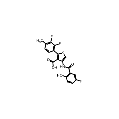 Cc1ccc(-c2scc(NC(=O)c3cc(F)ccc3O)c2C(=O)O)c(F)c1F